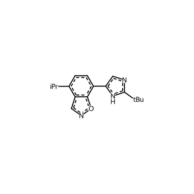 CC(C)c1ccc(-c2cnc(C(C)(C)C)[nH]2)c2oncc12